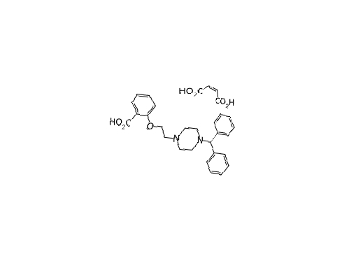 O=C(O)/C=C\C(=O)O.O=C(O)c1ccccc1OCCN1CCN(C(c2ccccc2)c2ccccc2)CC1